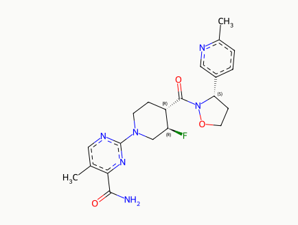 Cc1ccc([C@@H]2CCON2C(=O)[C@H]2CCN(c3ncc(C)c(C(N)=O)n3)C[C@@H]2F)cn1